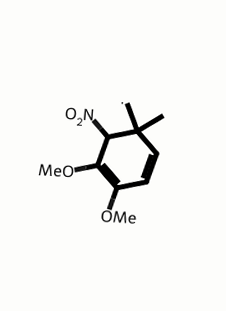 [CH2]C1(C)C=CC(OC)=C(OC)C1[N+](=O)[O-]